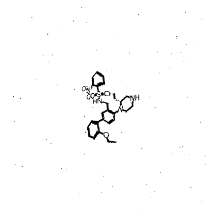 CCOc1ccccc1-c1ccc(N2CCNC[C@H]2CC)c(CNS(=O)(=O)c2ccccc2[N+](=O)[O-])c1